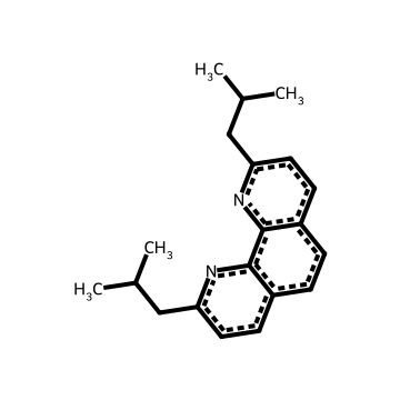 CC(C)Cc1ccc2ccc3ccc(CC(C)C)nc3c2n1